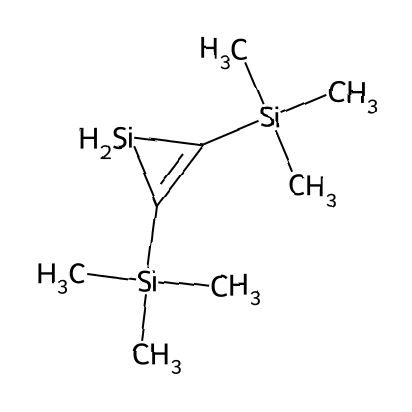 C[Si](C)(C)C1=C([Si](C)(C)C)[SiH2]1